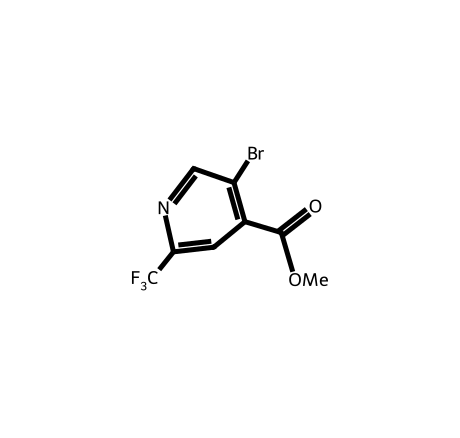 COC(=O)c1cc(C(F)(F)F)ncc1Br